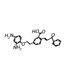 Nc1ccc(OCCc2ccc(C=CC(=O)c3ccccc3)c(C(=O)O)c2)c(N)c1